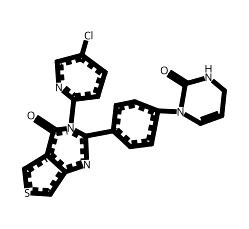 O=C1NCC=CN1c1ccc(-c2nc3cscc3c(=O)n2-c2ccc(Cl)cn2)cc1